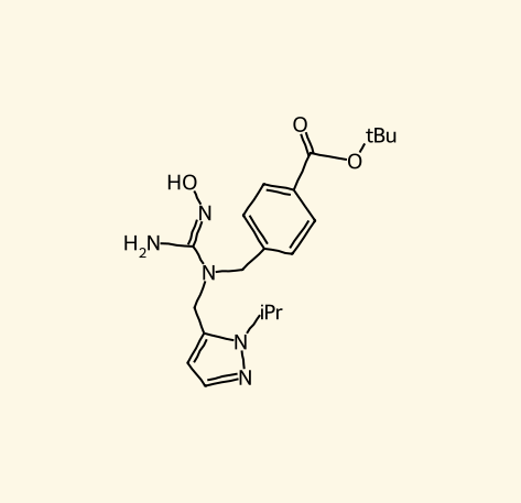 CC(C)n1nccc1CN(Cc1ccc(C(=O)OC(C)(C)C)cc1)/C(N)=N/O